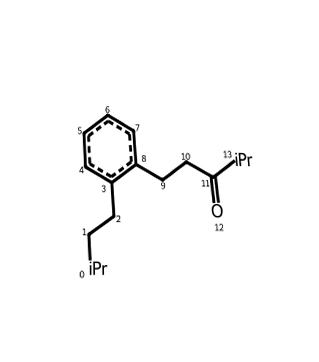 CC(C)CCc1ccccc1CCC(=O)C(C)C